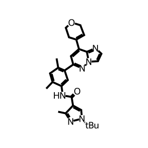 Cc1cc(C)c(-c2cc(C3=CCOCC3)c3nccn3n2)cc1NC(=O)c1cn(C(C)(C)C)nc1C